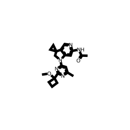 COC1(c2nc(C)cc(N3CC4(CC4)c4cnc(NC(C)=O)cc43)n2)CCC1